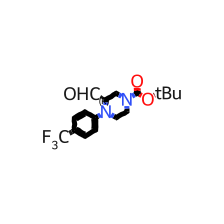 CC(C)(C)OC(=O)N1CCN(c2ccc(C(F)(F)F)cc2)[C@@H](C=O)C1